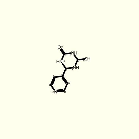 O=C1NC(S)NC(c2ccncc2)N1